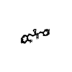 O=C(C=Cc1ccccc1F)NCc1cccnc1